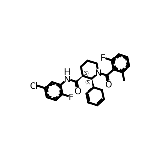 Cc1cccc(F)c1C(=O)N1CCC[C@H](C(=O)Nc2cc(Cl)ccc2F)[C@@H]1C1C=CC=CC1